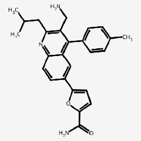 Cc1ccc(-c2c(CN)c(CC(C)C)nc3ccc(-c4ccc(C(N)=O)o4)cc23)cc1